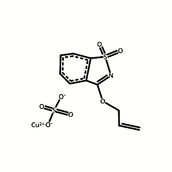 C=CCOC1=NS(=O)(=O)c2ccccc21.O=S(=O)([O-])[O-].[Cu+2]